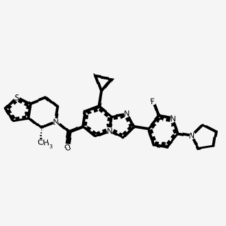 C[C@@H]1c2ccsc2CCN1C(=O)c1cc(C2CC2)c2nc(-c3ccc(N4CCCC4)nc3F)cn2c1